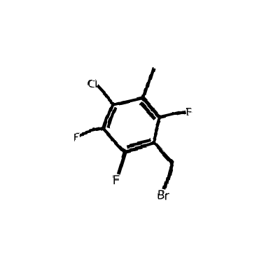 Cc1c(F)c(CBr)c(F)c(F)c1Cl